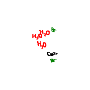 O.O.O.[Br-].[Br-].[Ca+2]